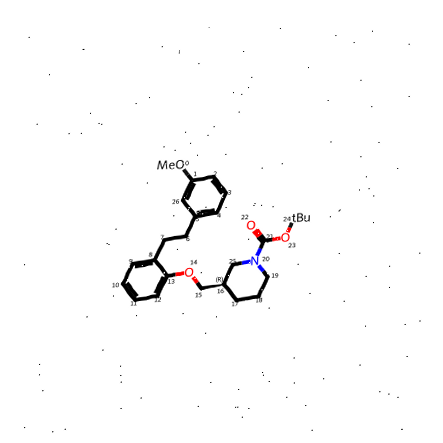 COc1cccc(CCc2ccccc2OC[C@@H]2CCCN(C(=O)OC(C)(C)C)C2)c1